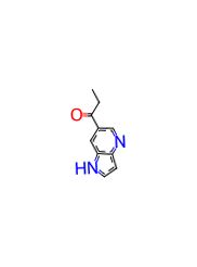 CCC(=O)c1cnc2cc[nH]c2c1